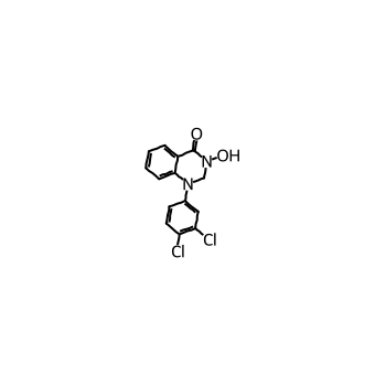 O=C1c2ccccc2N(c2ccc(Cl)c(Cl)c2)CN1O